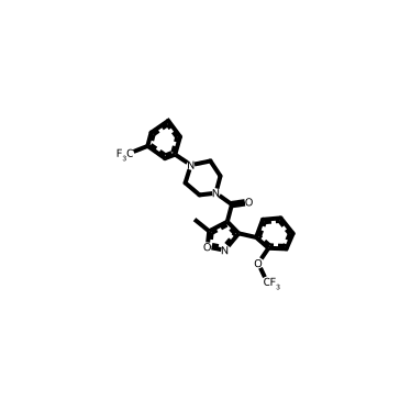 Cc1onc(-c2ccccc2OC(F)(F)F)c1C(=O)N1CCN(c2cccc(C(F)(F)F)c2)CC1